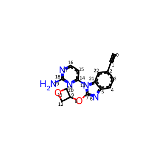 C#Cc1ccc2nc(OC3COC3)n(-c3ccnc(N)n3)c2c1